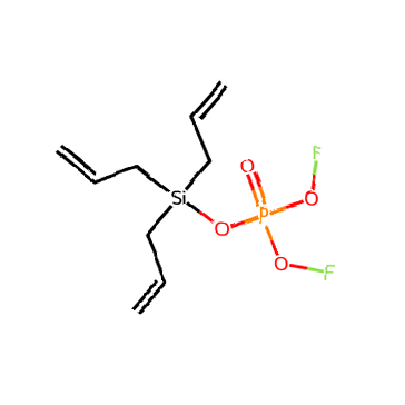 C=CC[Si](CC=C)(CC=C)OP(=O)(OF)OF